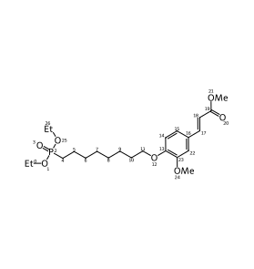 CCOP(=O)(CCCCCCCCOc1ccc(/C=C/C(=O)OC)cc1OC)OCC